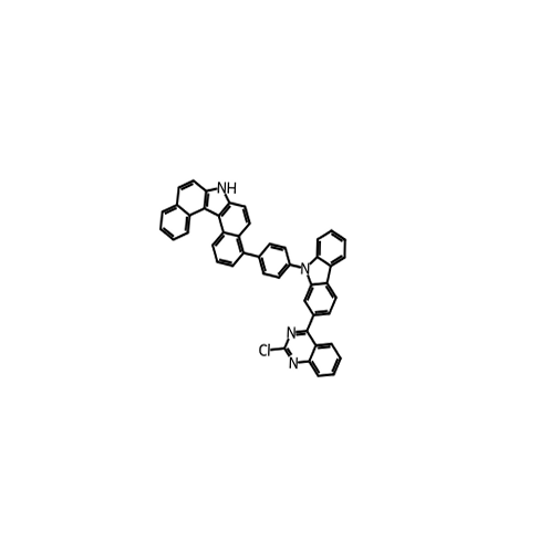 Clc1nc(-c2ccc3c4ccccc4n(-c4ccc(-c5cccc6c5ccc5[nH]c7ccc8ccccc8c7c56)cc4)c3c2)c2ccccc2n1